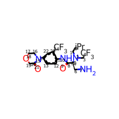 CC(C)CN(CC(F)(F)F)[C@@H](CN)C(=O)Nc1ccc(N2CCOCC2=O)cc1C(F)(F)F